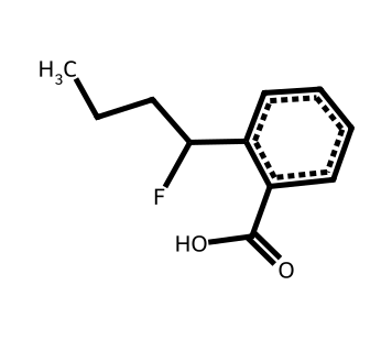 CCCC(F)c1ccccc1C(=O)O